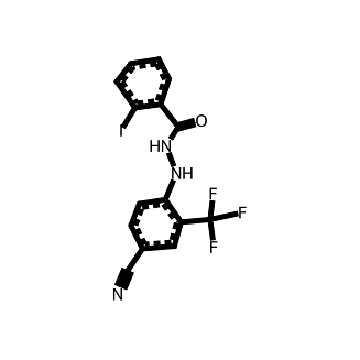 N#Cc1ccc(NNC(=O)c2ccccc2I)c(C(F)(F)F)c1